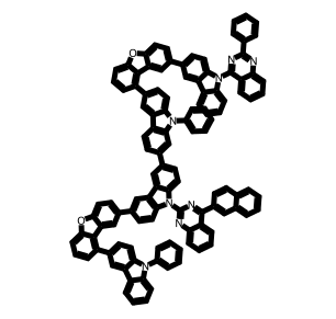 c1ccc(-c2nc(-n3c4ccccc4c4cc(-c5ccc6oc7cccc(-c8ccc9c(c8)c8ccc(-c%10ccc%11c(c%10)c%10cc(-c%12ccc%13oc%14cccc(-c%15ccc%16c(c%15)c%15ccccc%15n%16-c%15ccccc%15)c%14c%13c%12)ccc%10n%11-c%10nc(-c%11ccc%12ccccc%12c%11)c%11ccccc%11n%10)cc8n9-c8ccccc8)c7c6c5)ccc43)c3ccccc3n2)cc1